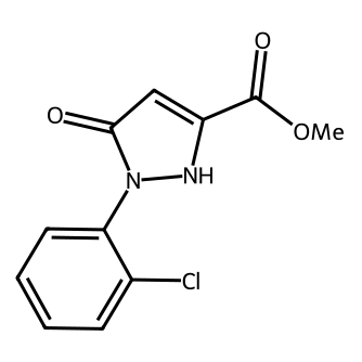 COC(=O)c1cc(=O)n(-c2ccccc2Cl)[nH]1